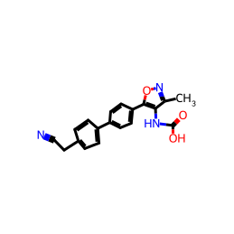 Cc1noc(-c2ccc(-c3ccc(CC#N)cc3)cc2)c1NC(=O)O